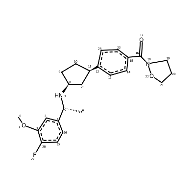 COc1cc([C@@H](C)N[C@H]2CC[C@@H](c3ccc(C(=O)N4CCCO4)cc3)C2)ccc1F